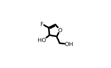 OCC1OC=C(F)C1O